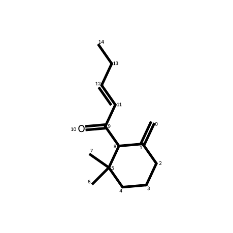 C=C1CCCC(C)(C)C1C(=O)C=CCC